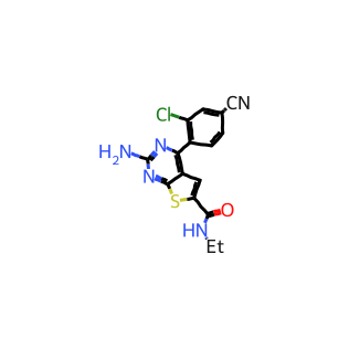 CCNC(=O)c1cc2c(-c3ccc(C#N)cc3Cl)nc(N)nc2s1